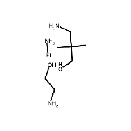 CC(C)(CN)CO.CCN.NCCO